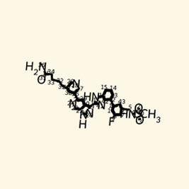 CS(=O)(=O)NCc1cc(F)cc(-c2cccc3[nH]c(-c4n[nH]c5cnc(-c6cncc(CCCCC(N)=O)c6)cc45)nc23)c1